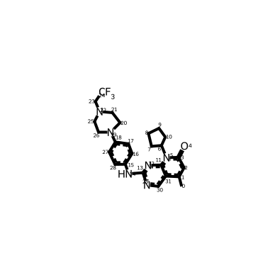 Cc1cc(=O)n(C2CCCC2)c2nc(Nc3ccc(N4CCN(CC(F)(F)F)CC4)cc3)ncc12